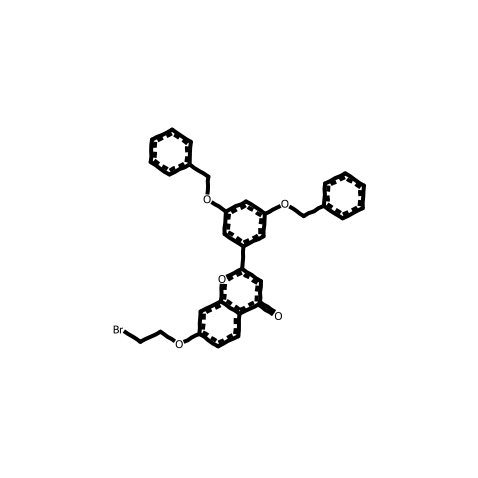 O=c1cc(-c2cc(OCc3ccccc3)cc(OCc3ccccc3)c2)oc2cc(OCCBr)ccc12